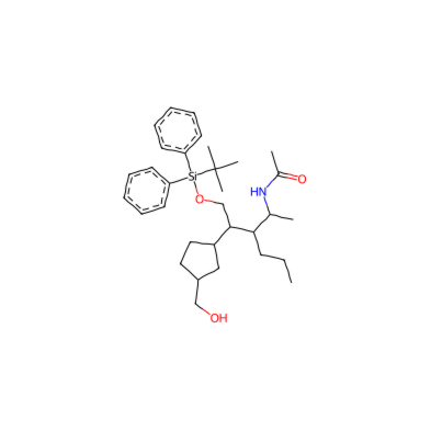 CCCC(C(C)NC(C)=O)C(CO[Si](c1ccccc1)(c1ccccc1)C(C)(C)C)C1CCC(CO)C1